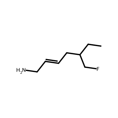 CCC(CF)C/C=C/CN